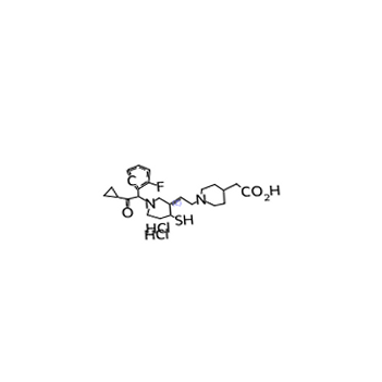 Cl.Cl.O=C(O)CC1CCN(C/C=C2/CN(C(C(=O)C3CC3)c3ccccc3F)CCC2S)CC1